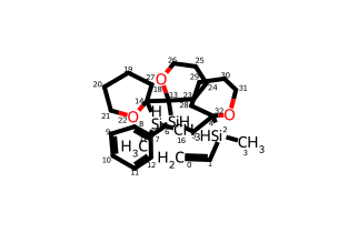 C=C[SiH](C)C1(C[SiH](c2ccccc2)C2(C3([SiH](C)C)CCCCO3)CCCCO2)CCCCO1